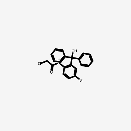 O=C(CCl)Nc1ccc(Br)cc1C(O)(c1ccccc1)c1ccccc1